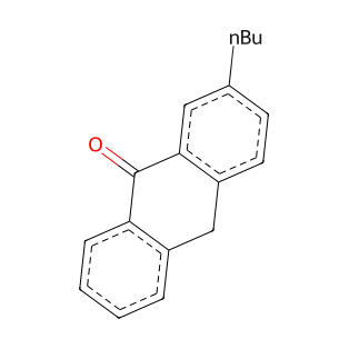 CCCCc1ccc2c(c1)C(=O)c1ccccc1C2